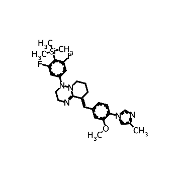 COc1cc(/C=C2\CCCN3C2=NCCN3c2cc(F)c([Si](C)(C)C)c(F)c2)ccc1-n1cnc(C)c1